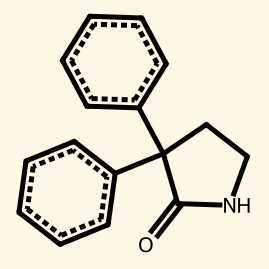 O=C1NCCC1(c1ccccc1)c1ccccc1